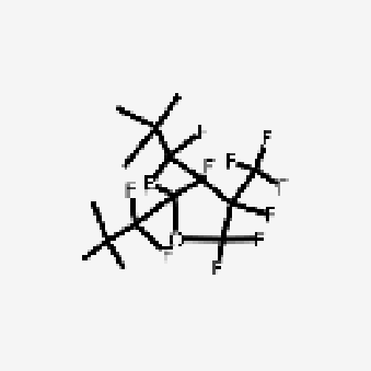 CC(C)(C)C(F)(F)C1(F)OC(F)(F)C(F)(C(F)(F)F)C1(F)C(F)(F)C(C)(C)C